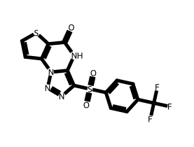 O=c1[nH]c2c(S(=O)(=O)c3ccc(C(F)(F)F)cc3)nnn2c2ccsc12